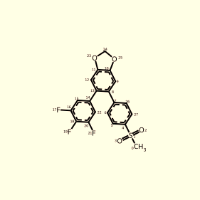 CS(=O)(=O)c1ccc(-c2cc3c(cc2-c2cc(F)c(F)c(F)c2)OCO3)cc1